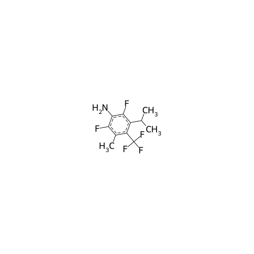 Cc1c(F)c(N)c(F)c(C(C)C)c1C(F)(F)F